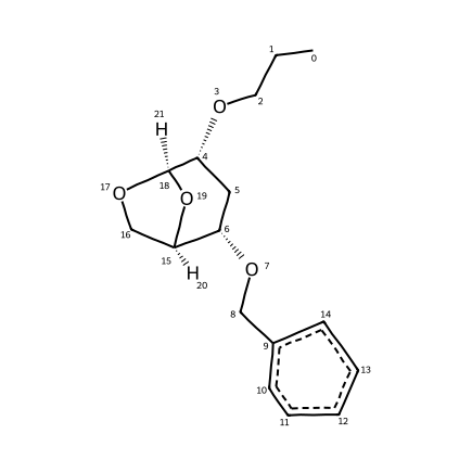 CCCO[C@@H]1C[C@H](OCc2ccccc2)[C@H]2CO[C@@H]1O2